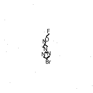 FCCON=C1CN(c2ncc(Br)cn2)C1